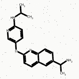 CC(C)Nc1ccc(Oc2ccc3cc(C(C)N)ccc3n2)cn1